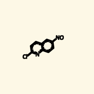 O=Nc1ccc2nc(Cl)ccc2c1